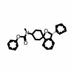 CN(C(=O)Oc1ccccc1)C1CCC2(CC1)O[C@H](c1ccccc1)c1ccccc12